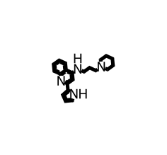 c1c[nH]c(-c2cc(NCCCN3CCCCC3)c3ccccc3n2)c1